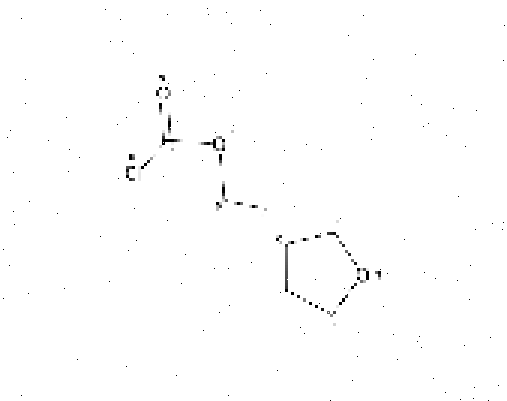 C1CCOC1.CCOC(=O)Cl